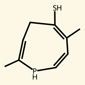 C/C1=C/C/C(S)=C(C)\C=C/P1